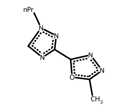 CCCn1cnc(-c2nnc(C)o2)n1